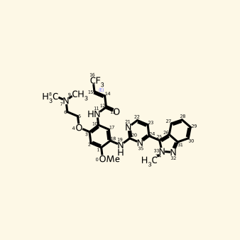 COc1cc(OCCN(C)C)c(NC(=O)/C=C/C(F)(F)F)cc1Nc1nccc(-c2c3ccccc3nn2C)n1